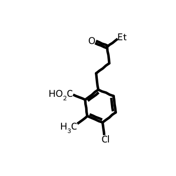 CCC(=O)CCc1ccc(Cl)c(C)c1C(=O)O